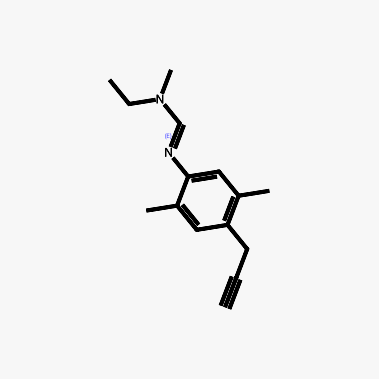 C#CCc1cc(C)c(/N=C/N(C)CC)cc1C